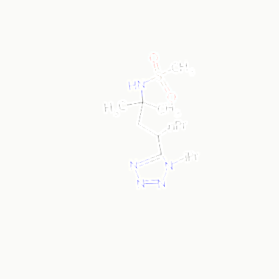 CCCC(CC(C)(C)NS(C)(=O)=O)c1nnnn1C(C)C